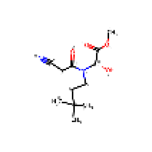 COC(=O)[C@H](O)N(CCC(C)(C)C)C(=O)CC#N